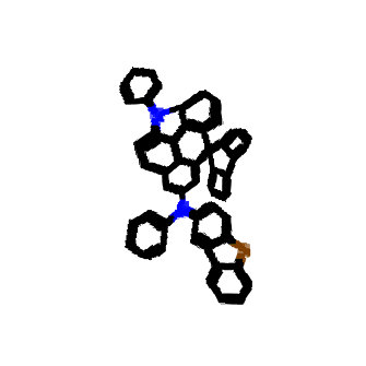 c1ccc(N(c2cc3c4c(ccc5c4c4c(cccc4n5-c4ccccc4)C34c3ccccc3-c3ccccc34)c2)c2ccc3sc4ccccc4c3c2)cc1